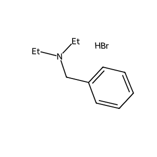 Br.CCN(CC)Cc1ccccc1